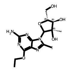 CCOc1nc(N)nc2c1nc(I)n2C1O[C@H](CO)[C@@H](O)[C@@]1(C)O